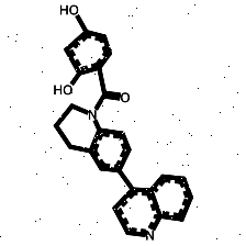 O=C(c1ccc(O)cc1O)N1CCCc2cc(-c3ccnc4ccccc34)ccc21